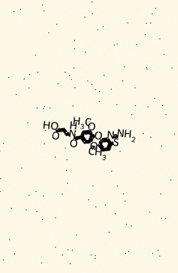 COc1cc(C(=O)NCCC(=O)O)cc(OC)c1Oc1cccc2sc(N)nc12